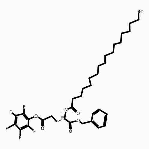 CC(C)CCCCCCCCCCCCCCCCC(=O)N[C@@H](CCC(=O)Oc1c(F)c(F)c(F)c(F)c1F)C(=O)OCc1ccccc1